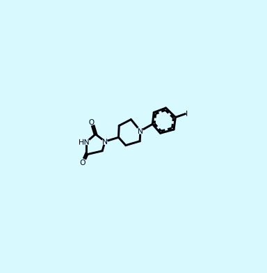 O=C1CN(C2CCN(c3ccc(I)cc3)CC2)C(=O)N1